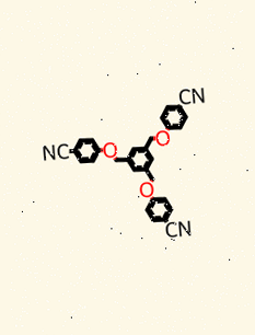 N#Cc1ccc(OCc2cc(COc3ccc(C#N)cc3)cc(COc3ccc(C#N)cc3)c2)cc1